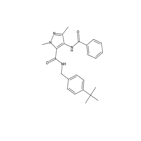 Cc1nn(C)c(C(=O)NCc2ccc(C(C)(C)C)cc2)c1NC(=O)c1ccccc1